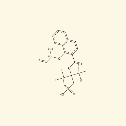 C=C[C@H](O)Oc1c(C(=O)OC(CS(=O)(=O)O)(C(F)(F)F)C(F)(F)F)ccc2ccccc12